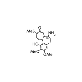 COc1cc2c(c(O)c1OC)-c1ccc(SC)c(=O)cc1[C@@H](N)CC2